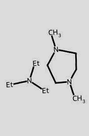 CCN(CC)CC.CN1CCN(C)CC1